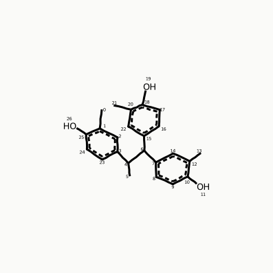 Cc1cc(C(C)C(c2ccc(O)c(C)c2)c2ccc(O)c(C)c2)ccc1O